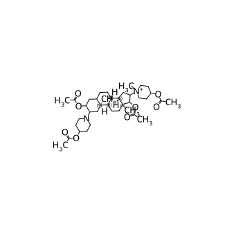 CC(=O)OC1CCN(C2C[C@@]3(C)C(CC[C@@H]4[C@H]3CC[C@]3(C)C(OC(C)=O)C([N+]5(C)CCC(OC(C)=O)CC5)C[C@@H]43)CC2OC(C)=O)CC1